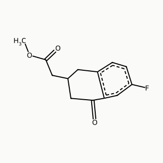 COC(=O)CC1CC(=O)c2cc(F)ccc2C1